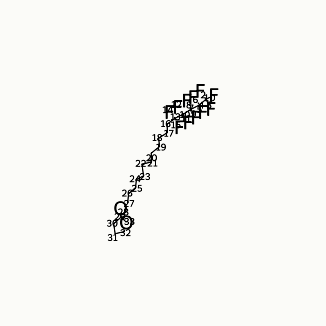 FC(F)(F)C(F)(F)C(F)(F)C(F)(F)C(F)(F)CCCCCCCCCCCCOC1CCCO1